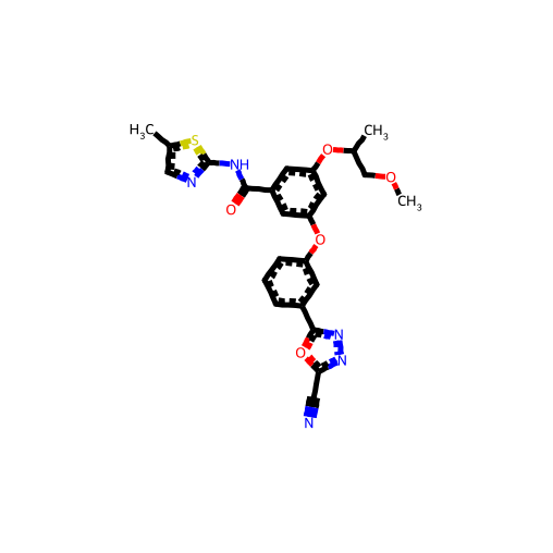 COCC(C)Oc1cc(Oc2cccc(-c3nnc(C#N)o3)c2)cc(C(=O)Nc2ncc(C)s2)c1